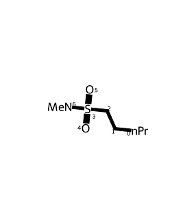 [CH2]CCCCS(=O)(=O)NC